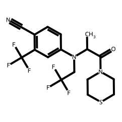 CC(C(=O)N1CCSCC1)N(CC(F)(F)F)c1ccc(C#N)c(C(F)(F)F)c1